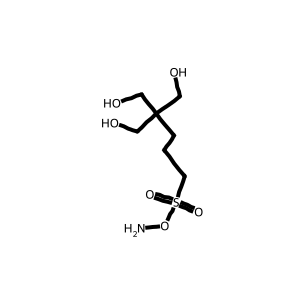 NOS(=O)(=O)CCCC(CO)(CO)CO